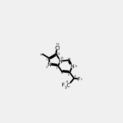 Cc1nc2cc(C(F)C(F)(F)F)ncn2c1Cl